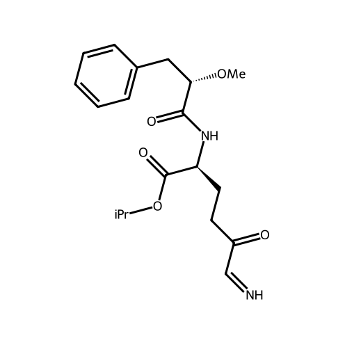 CO[C@@H](Cc1ccccc1)C(=O)N[C@@H](CCC(=O)C=N)C(=O)OC(C)C